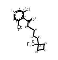 CCc1cncc(Cl)c1C(=O)CCCCC1(C(F)(F)F)CCC1